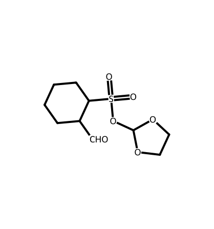 O=CC1CCCCC1S(=O)(=O)OC1OCCO1